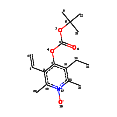 C=Cc1c(OC(=O)OC(C)(C)C)c(CC)c(C)[n+]([O-])c1C